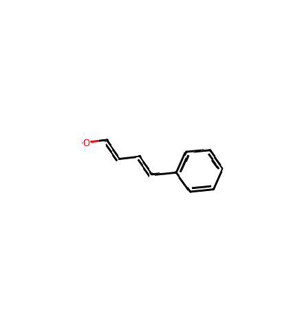 [O]C=CC=Cc1ccccc1